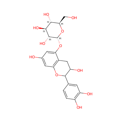 OC[C@H]1O[C@H](Oc2cc(O)cc3c2CC(O)C(c2ccc(O)c(O)c2)O3)[C@H](O)[C@@H](O)[C@@H]1O